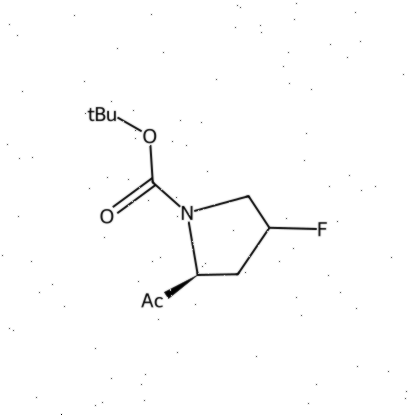 CC(=O)[C@@H]1CC(F)CN1C(=O)OC(C)(C)C